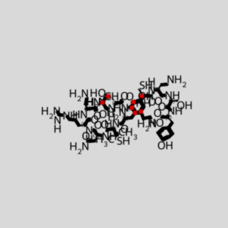 C[C@@H](O)[C@H](NC(=O)[C@H](CCN)NC(=O)[C@H](CCCNC(=N)N)NC(=O)[C@H](CC(N)=O)NC(=O)[C@@H](NC(=O)[C@@H](N)Cc1ccc(O)cc1)C(C)(C)S)C(=O)N[C@H](CCN)C(=O)N[C@@H](CCCCN)C(=O)N[C@@H](CS)C(=O)N[C@@H](CCN)C(=O)N[C@@H](CO)C(=O)N[C@@H](Cc1ccc(O)cc1)C(=O)O